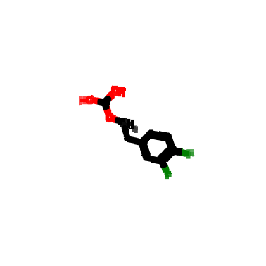 OC(O)O[SiH2]Cc1ccc(F)c(F)c1